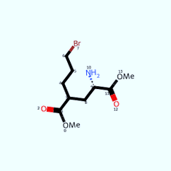 COC(=O)C(CCCBr)C[C@H](N)C(=O)OC